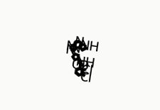 O=S(=O)(N[C@H]1CC[C@@H](c2nnc3cnc4[nH]ccc4n23)C1)c1cccc(Cl)c1Cl